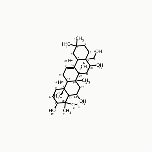 CC1(C)CC[C@@]2(CO)[C@H](C1)C1=CC[C@@H]3[C@@]4(C)CC[C@H](O)C(C)(C)C4[C@H](O)C[C@@]3(C)[C@]1(C)C[C@@H]2O